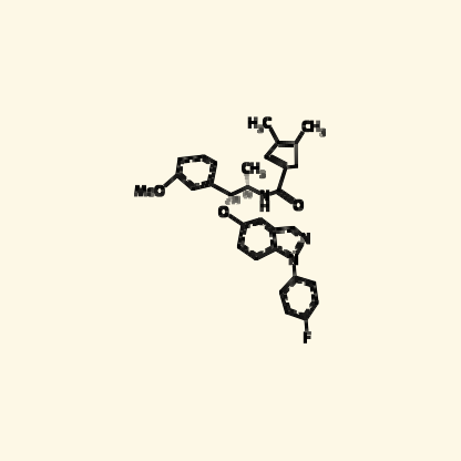 COc1cccc([C@@H](Oc2ccc3c(cnn3-c3ccc(F)cc3)c2)[C@H](C)NC(=O)C2=CC(C)=C(C)C2)c1